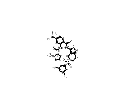 CN(C)c1ccc(C(=O)Nc2n[nH]c3c2CN(S(=O)(=O)c2cc(F)cc(F)c2)CC3)c(NC(=O)[C@@H]2CCCN2C)c1